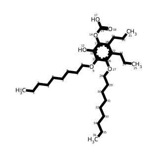 CCCCCCCCCOc1c(O)c(OC(=O)O)c(CCC)c(CCC)c1OCCCCCCCCC